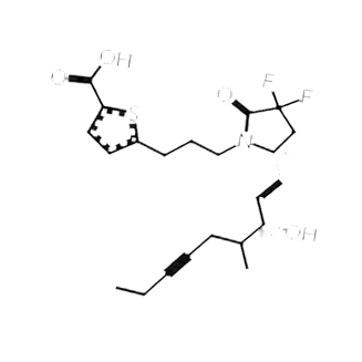 CCC#CCC(C)[C@@H](O)C=C[C@H]1CC(F)(F)C(=O)N1CCCc1ccc(C(=O)O)s1